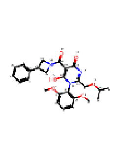 COc1cccc(OC)c1-n1c(COC(C)C)nc(=O)c(C(=O)N2CC(c3ccccc3)C2)c1O